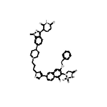 Cn1nc(C2CCC(=O)NC2=O)c2ccc(C3CCN(CCCC4C=C(c5ccc6c(F)c(N7CC(=O)NS7(=O)=O)c(OCc7ccccc7)cc6c5)C=N4)CC3)cc21